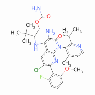 COc1cccc(F)c1-c1nc2c(cc1Cl)c(NC(COC(N)=O)C(C)(C)C)c(N)c(=O)n2-c1c(C)ccnc1C(C)C